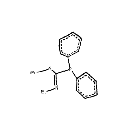 CC/N=C(\SC(C)C)P(c1ccccc1)c1ccccc1